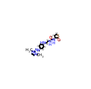 Cn1cc[n+](C)c1/N=N/c1ccc(NCCNC(=O)NC2CCSC2=O)cc1